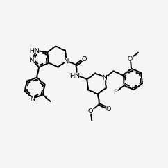 COC(=O)C1CC(NC(=O)N2CCc3[nH]nc(-c4ccnc(C)c4)c3C2)CN(Cc2c(F)cccc2OC)C1